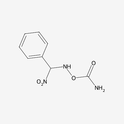 NC(=O)ONC(c1ccccc1)[N+](=O)[O-]